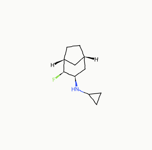 F[C@H]1[C@@H]2CC[C@@H](C2)C[C@H]1NC1CC1